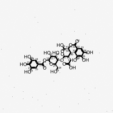 O=C(O)C[C@H](C(=O)O[C@H]1[C@@H](O)[C@@H](O)[C@H](OC(=O)c2cc(O)c(O)c(O)c2)O[C@@H]1CO)[C@H]1c2c(cc(O)c(O)c2O)C(=O)O[C@@H]1C(=O)O